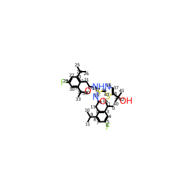 CC(C)c1cc(F)cc(C(C)C)c1CC(=O)/N=S(/NC(=O)Cc1c(C(C)C)cc(F)cc1C(C)C)c1ncc(C(C)(C)O)s1